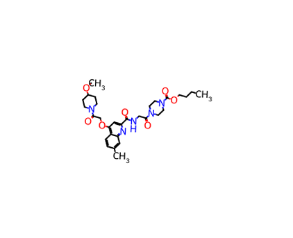 CCCCOC(=O)N1CCN(C(=O)CNC(=O)c2cc(OCC(=O)N3CCC(OC)CC3)c3ccc(C)cc3n2)CC1